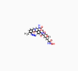 CCOCCOCCOC(=O)NCCN(Cc1ccc(C)c(N=[N+]=[N-])c1)C(=O)c1ccc(NC(=O)CCCCCCC(=O)NO)cc1